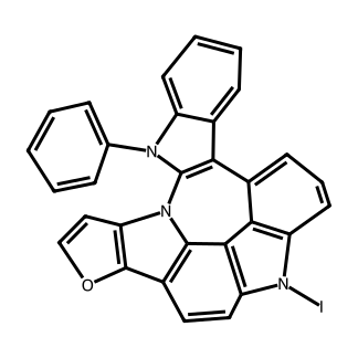 In1c2cccc3c2c2c1ccc1c4occc4n(c12)c1c3c2ccccc2n1-c1ccccc1